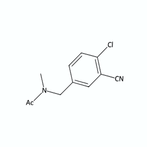 CC(=O)N(C)Cc1ccc(Cl)c(C#N)c1